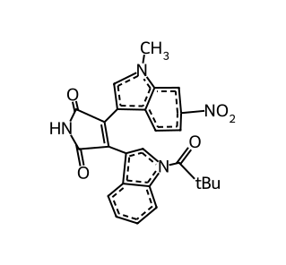 Cn1cc(C2=C(c3cn(C(=O)C(C)(C)C)c4ccccc34)C(=O)NC2=O)c2ccc([N+](=O)[O-])cc21